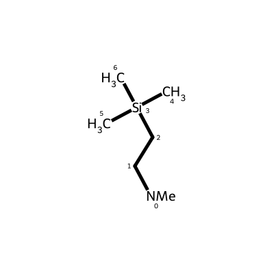 CNCC[Si](C)(C)C